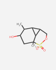 CC1C(O)CC2(C(F)(F)F)C3C(COS2(=O)=O)C13